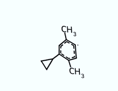 Cc1[c]cc(C)c(C2CC2)c1